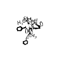 C[C@]1(COCc2ccccc2)O[C@@H](n2ccc(=O)[nH]c2=O)[C@@H](C#C[Si](C)(C)C)[C@@H]1OCc1ccccc1